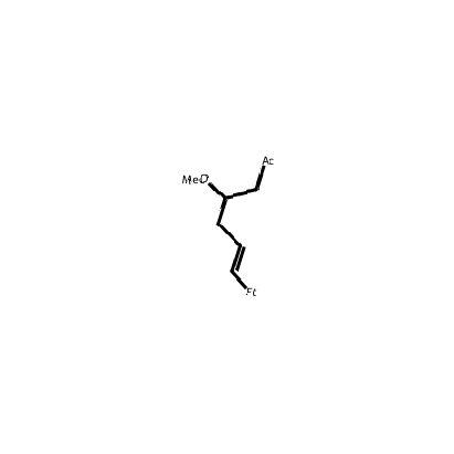 CCC=CCC(CC(C)=O)OC